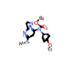 CCOc1ccc(N(C(=O)OC(C)(C)C)c2cc(SC)nc3ccnn23)cc1